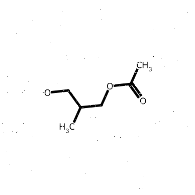 CC(=O)OCC(C)C[O]